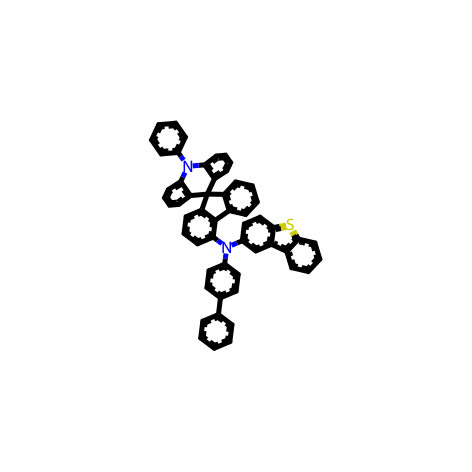 c1ccc(-c2ccc(N(c3ccc4sc5ccccc5c4c3)c3cccc4c3-c3ccccc3C43c4ccccc4N(c4ccccc4)c4ccccc43)cc2)cc1